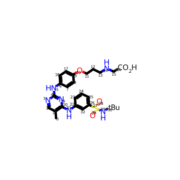 Cc1cnc(Nc2ccc(OCCCNCC(=O)O)cc2)nc1Nc1cccc(S(=O)(=O)NC(C)(C)C)c1